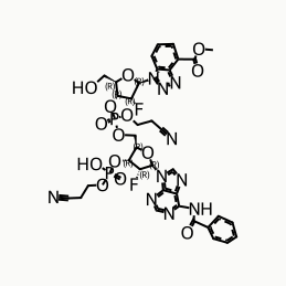 COC(=O)c1cccc2c1nnn2[C@@H]1O[C@H](CO)[C@@H](OP(=O)(OCCC#N)OC[C@H]2O[C@@H](n3cnc4c(NC(=O)c5ccccc5)ncnc43)[C@H](F)[C@@H]2OP(=O)(O)OCCC#N)[C@H]1F